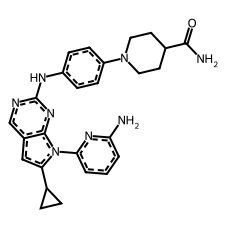 NC(=O)C1CCN(c2ccc(Nc3ncc4cc(C5CC5)n(-c5cccc(N)n5)c4n3)cc2)CC1